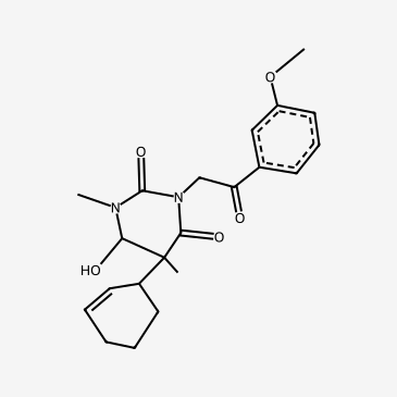 COc1cccc(C(=O)CN2C(=O)N(C)C(O)C(C)(C3C=CCCC3)C2=O)c1